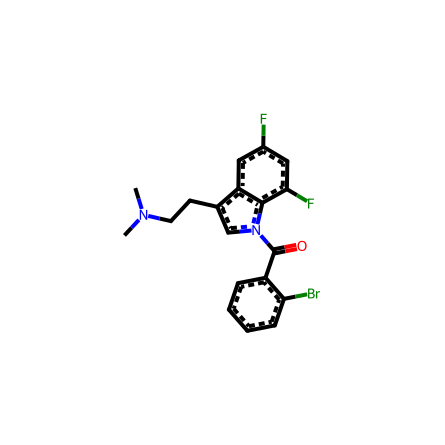 CN(C)CCc1cn(C(=O)c2ccccc2Br)c2c(F)cc(F)cc12